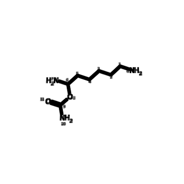 NCCCCCC(N)OC(N)=O